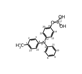 Cc1ccc(N(c2ccccc2)c2ccc(OB(O)O)cc2)cc1